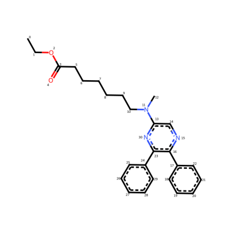 CCOC(=O)CCCCCCN(C)c1cnc(-c2ccccc2)c(-c2ccccc2)n1